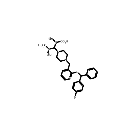 CC(C)(C)N([C](N1CCN(Cc2cccnc2SC(c2ccccc2)c2ccc(Br)cc2)CC1)N(C(=O)O)C(C)(C)C)C(=O)O